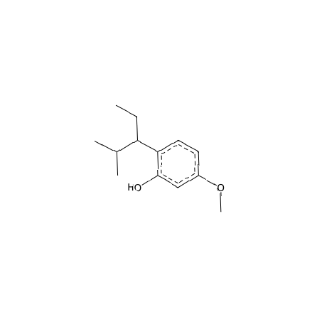 CCC(c1ccc(OC)cc1O)C(C)C